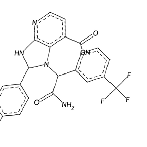 NC(=O)C(c1cccc(C(F)(F)F)c1)N1c2c(C(=O)O)ccnc2NC1c1ccc(Cl)cc1